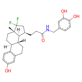 C[C@]12CC[C@@H]3c4ccc(O)cc4CC[C@H]3[C@@H]1[C@H](CCC(=O)NCc1ccc(O)c(O)c1)CC2(F)F